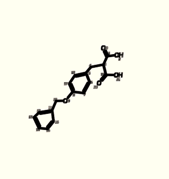 O=C(O)C(Cc1ccc(OCc2ccccc2)cc1)C(=O)O